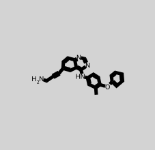 Cc1cc(Nc2ncnc3ccc(C#CCN)cc23)ccc1Oc1ccccc1